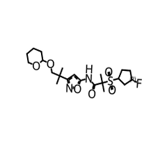 CC(C)(COC1CCCCO1)c1cc(NC(=O)C(C)(C)S(=O)(=O)C2CC[C@@H](F)C2)on1